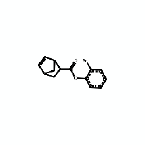 O=C(Oc1ccccc1Br)C1CC2C=CC1C2